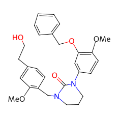 COc1cc(CCO)ccc1CN1CCCN(c2ccc(OC)c(OCc3ccccc3)c2)C1=O